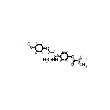 CN[C@H](CCOc1ccc(SC)cc1)c1ccc(OC(=O)N(C)C)cc1